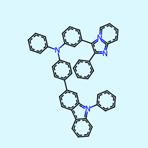 c1ccc(-c2nc3ccccn3c2-c2cccc(N(c3ccccc3)c3ccc(-c4ccc5c6ccccc6n(-c6ccccc6)c5c4)cc3)c2)cc1